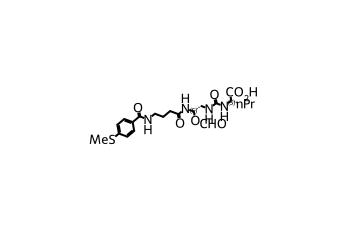 CCC[C@H](NC(=O)NC[C@@H](NC(=O)CCCNC(=O)c1ccc(SC)cc1)OC=O)C(=O)O